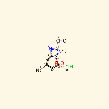 Cl.Cn1c(C=O)nc2cc(C#N)ccc21.O